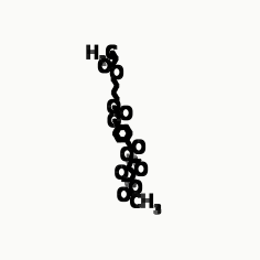 C=CC(=O)OCCCCOC(=O)Oc1ccc(C(=O)O[C@@H]2COC3C2OC[C@H]3OC(C)=O)cc1